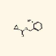 O=C(OCc1ccccc1)N1CC1.[SiH4]